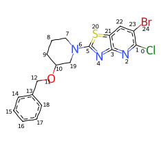 Clc1nc2nc(N3CCCC(OCc4ccccc4)C3)sc2cc1Br